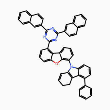 C1=Cc2c(c3c(-c4ccccc4)cccc3n2-c2cccc3c2oc2cccc(-c4nc(-c5ccc6ccccc6c5)nc(-c5ccc6ccccc6c5)n4)c23)CC1